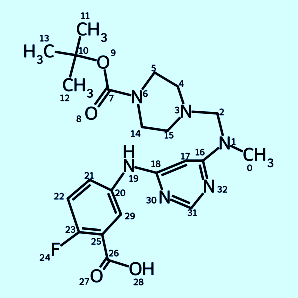 CN(CN1CCN(C(=O)OC(C)(C)C)CC1)c1cc(Nc2ccc(F)c(C(=O)O)c2)ncn1